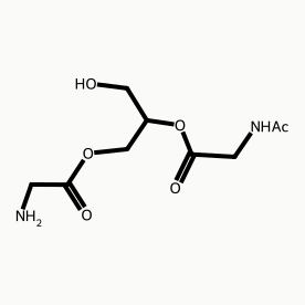 CC(=O)NCC(=O)OC(CO)COC(=O)CN